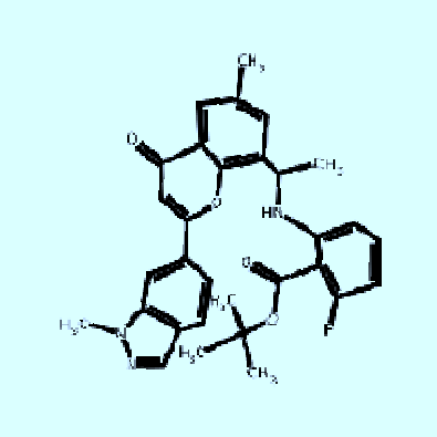 Cc1cc(C(C)Nc2cccc(F)c2C(=O)OC(C)(C)C)c2oc(-c3ccc4cnn(C)c4c3)cc(=O)c2c1